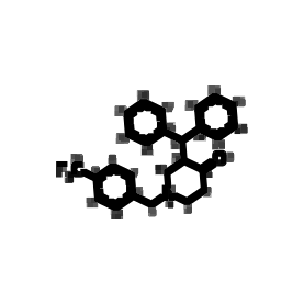 O=C1CCN(Cc2ccc(C(F)(F)F)cc2)CC1C(c1ccccc1)c1ccccc1